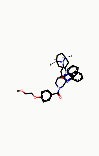 COCCOc1ccc(C(=O)N2CCC(CCN3[C@@H]4CC[C@H]3CC(n3c(C)nc5ccccc53)C4)(c3ccccc3)CC2)cc1